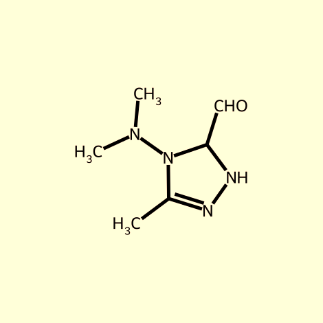 CC1=NNC(C=O)N1N(C)C